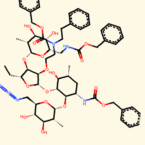 CC[C@H]1O[C@@H](O[C@@H]2[C@@H](O)[C@H](C)C[C@H](NC(=O)OCc3ccccc3)[C@H]2O[C@H]2O[C@H](CN=[N+]=[N-])[C@@H](O)[C@H](O)[C@H]2C)[C@H](OCCN(CCc2ccccc2)C(=O)OCc2ccccc2)[C@@H]1O[C@H]1O[C@@H](CNC(=O)OCc2ccccc2)[C@@H](O)[C@H](O)[C@H]1C